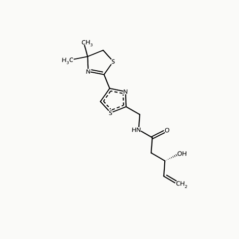 C=C[C@@H](O)CC(=O)NCc1nc(C2=NC(C)(C)CS2)cs1